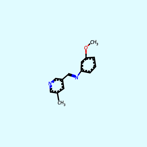 COc1cccc(N=Cc2cncc(C)c2)c1